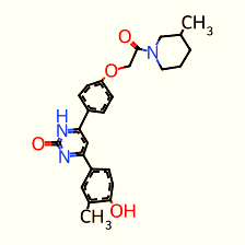 Cc1cc(-c2cc(-c3ccc(OCC(=O)N4CCCC(C)C4)cc3)[nH]c(=O)n2)ccc1O